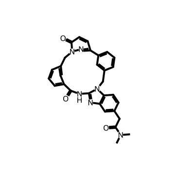 CN(C)C(=O)Cc1ccc2c(c1)nc1n2Cc2cccc(c2)-c2ccc(=O)n(n2)Cc2cccc(c2)C(=O)N1